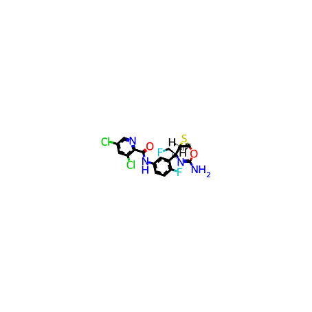 NC1=N[C@](CF)(c2cc(NC(=O)c3ncc(Cl)cc3Cl)ccc2F)[C@H]2S[C@H]2O1